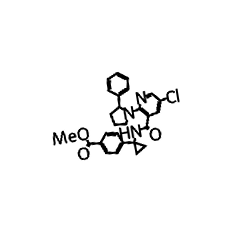 COC(=O)c1ccc(C2(NC(=O)c3cc(Cl)cnc3N3CCCC3c3ccccc3)CC2)cc1